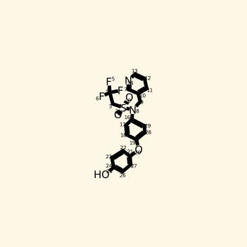 O=S(=O)(CC(F)(F)F)N(Cc1cccnc1)c1ccc(Oc2ccc(O)cc2)cc1